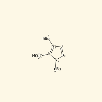 CCCCn1cc[n+](CCCC)c1C(=O)O